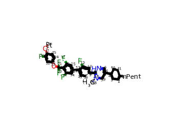 CCCCCC1CCC(C2=CN[C@H]([C@H]3C=C(F)C(c4cc(F)c(C(F)(F)Oc5ccc(OCC)c(F)c5)c(F)c4)=CC3)N(C)C2)CC1